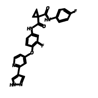 O=C(Nc1ccc(F)cc1)C1(C(=O)Nc2ccc(Oc3ccnc(-c4cn[nH]c4)c3)c(F)c2)CC1